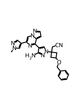 Cn1cc(-c2cn3nccc3c(-c3cn(C4(CC#N)CC(OCc5ccccc5)C4)nc3N)n2)cn1